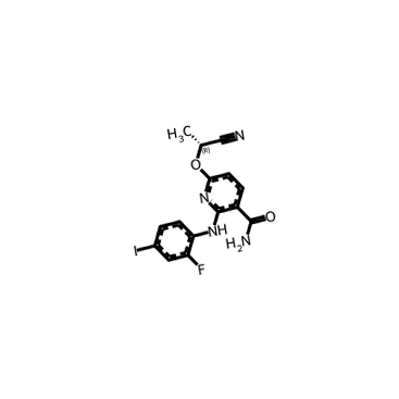 C[C@H](C#N)Oc1ccc(C(N)=O)c(Nc2ccc(I)cc2F)n1